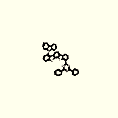 c1ccc(C2=NC(c3cccc4c3oc3c4ccc4c3oc3cccc(-n5c6ccccc6c6ccccc65)c34)NC(c3ccccc3)=N2)cc1